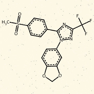 CS(=O)(=O)c1ccc(-c2nc(C(F)(F)F)nn2-c2ccc3c(c2)OCO3)cc1